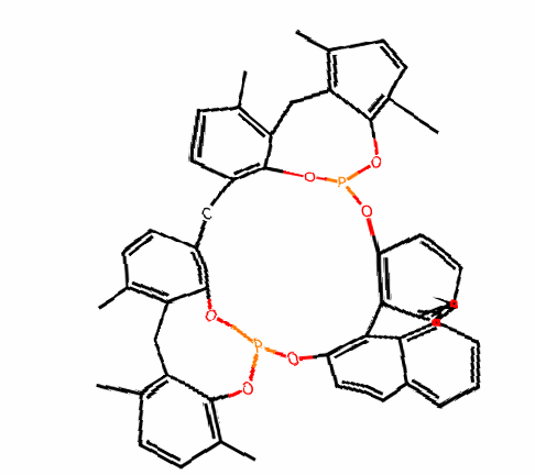 Cc1ccc(C)c2c1Cc1c(C)ccc3c1OP(Oc1ccc4ccccc4c1-c1c(ccc4ccccc14)OP1Oc4c(C)ccc(C)c4Cc4c(C)ccc(c4O1)C3)O2